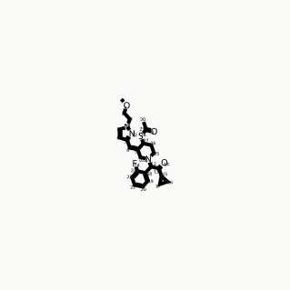 COCCn1ccc(C=C2CN(C(C(=O)C3CC3)c3ccccc3F)CCC2SC(C)=O)n1